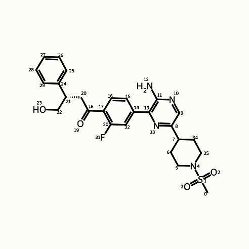 CS(=O)(=O)N1CCC(c2cnc(N)c(-c3ccc(C(=O)C[C@H](CO)c4ccccc4)c(F)c3)n2)CC1